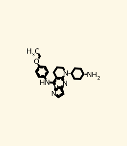 CCOc1ccc(Nc2c3c(nc4ccnn24)N([C@H]2CC[C@H](N)CC2)CCC3)cc1